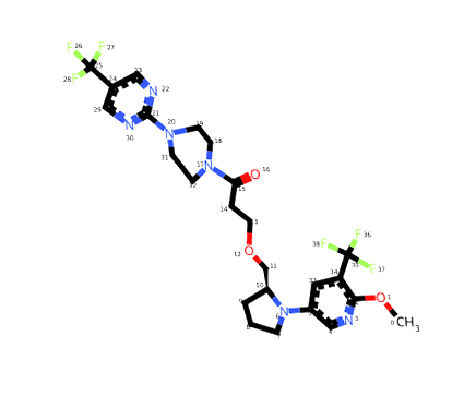 COc1ncc(N2CCC[C@H]2COCCC(=O)N2CCN(c3ncc(C(F)(F)F)cn3)CC2)cc1C(F)(F)F